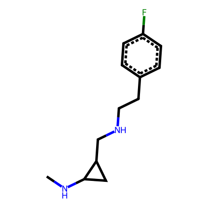 CNC1CC1CNCCc1ccc(F)cc1